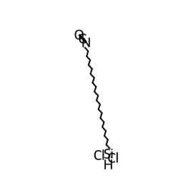 O=C=NCCCCCCCCCCCCCCCCCCCCCCCC[SiH](Cl)Cl